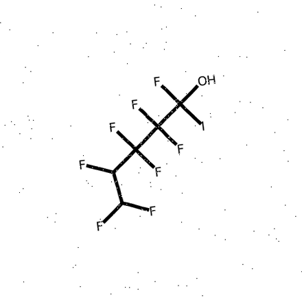 OC(F)(I)C(F)(F)C(F)(F)C(F)C(F)F